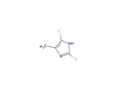 Cc1nc(F)[nH]c1F